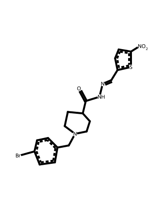 O=C(N/N=C/c1ccc([N+](=O)[O-])s1)C1CCN(Cc2ccc(Br)cc2)CC1